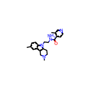 Cc1ccc2c(c1)c1c(n2CCN(N)C(=O)c2ccncc2C)CCN(C)C1